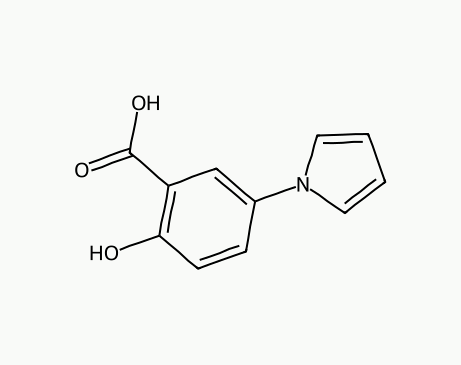 O=C(O)c1cc(-n2cccc2)ccc1O